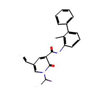 C=Cc1cc(C(=O)Nc2cccc(-c3ccccc3)c2C)c(=O)n(C(C)I)c1